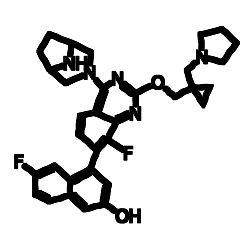 Oc1cc(-c2ccc3c(N4CC5CCC(C4)N5)nc(OCC4(CN5CCCC5)CC4)nc3c2F)c2cc(F)ccc2c1